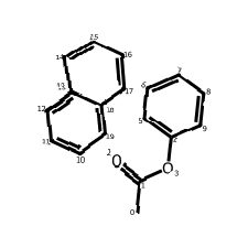 CC(=O)Oc1ccccc1.c1ccc2ccccc2c1